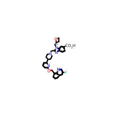 O=C(O)c1ccc2nc(CN3CCC(c4cccc(OCc5cccc6cc(F)cnc56)n4)CC3)n(C[C@@H]3CCO3)c2c1